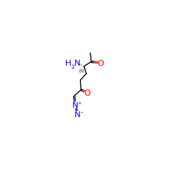 CC(=O)[C@@H](N)CCC(=O)C=[N+]=[N-]